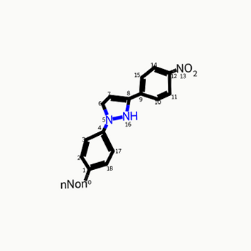 CCCCCCCCCc1ccc(N2CC=C(c3ccc([N+](=O)[O-])cc3)N2)cc1